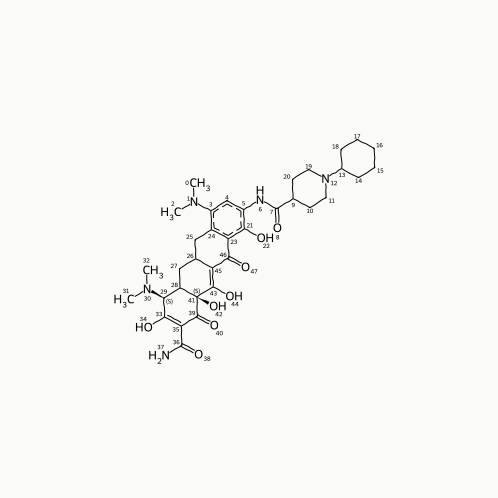 CN(C)c1cc(NC(=O)C2CCN(C3CCCCC3)CC2)c(O)c2c1CC1CC3[C@H](N(C)C)C(O)=C(C(N)=O)C(=O)[C@@]3(O)C(O)=C1C2=O